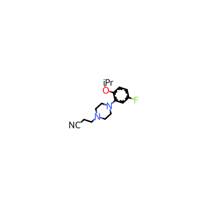 CC(C)Oc1ccc(F)cc1N1CCN(CCC#N)CC1